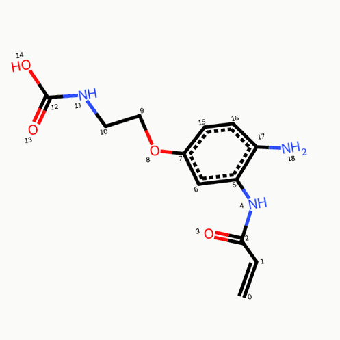 C=CC(=O)Nc1cc(OCCNC(=O)O)ccc1N